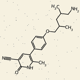 Cc1[nH]c(=O)c(C#N)cc1-c1ccc(OCC(C)CC(C)CN)cc1